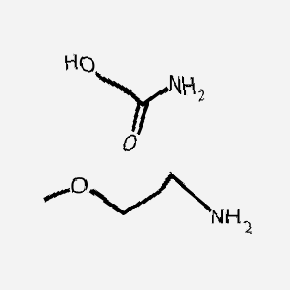 COCCN.NC(=O)O